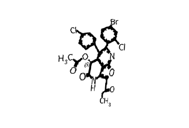 CCC(=O)c1oc2nc(-c3ccc(Br)cc3Cl)c(-c3ccc(Cl)cc3)c3c2c1NC(=O)[C@H]3OC(C)=O